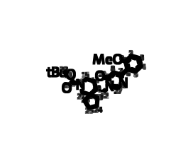 COc1ccccc1-c1cc(=O)n(C[C@H]2CCN(C(=O)OC(C)(C)C)CC23CCCC3)cn1